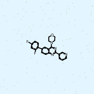 Fc1ccc(-c2ccc3nc(-c4cccnc4)nc(N4CCOCC4)c3c2)c(F)c1